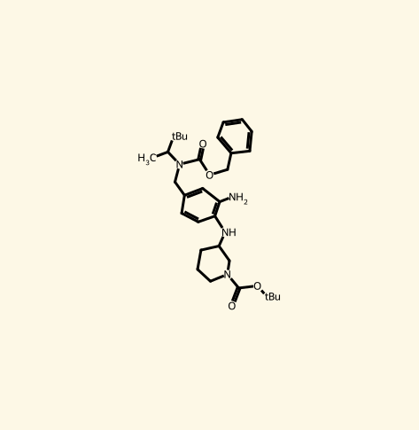 CC(N(Cc1ccc(NC2CCCN(C(=O)OC(C)(C)C)C2)c(N)c1)C(=O)OCc1ccccc1)C(C)(C)C